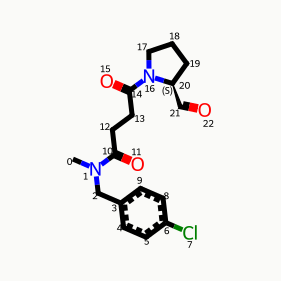 CN(Cc1ccc(Cl)cc1)C(=O)CCC(=O)N1CCC[C@H]1C=O